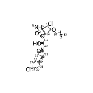 CNC(=O)c1cc(Cl)c(OCCSC)cc1OC[C@H](O)CN1C[C@@H](Oc2ccc(Cl)cc2)CO1